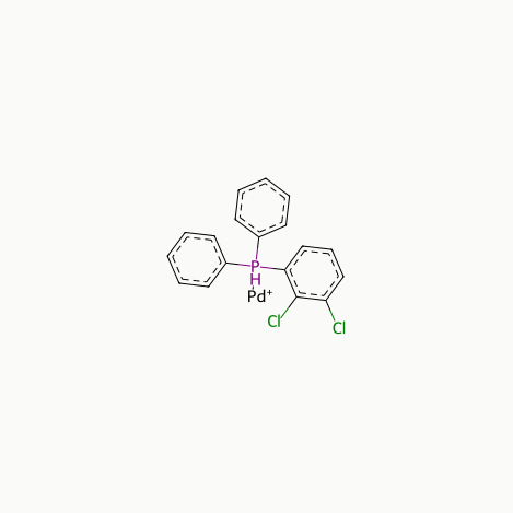 Clc1cccc([PH]([Pd+])(c2ccccc2)c2ccccc2)c1Cl